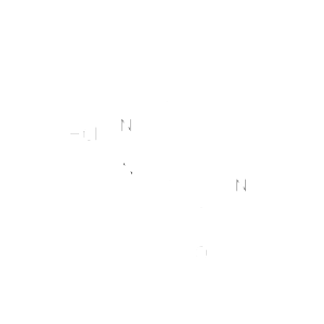 Cl.O=C1N=c2cccc3c2=C1N=N3